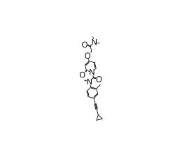 Cc1cc(C#CC2CC2)ccc1N(C)C(=O)n1ccc(OCC(=O)N(C)C)cc1=O